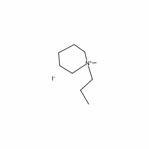 CCC[N+]1(C)CCCCC1.[I-]